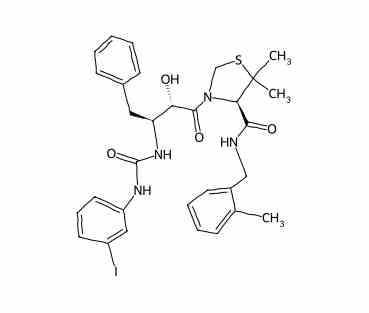 Cc1ccccc1CNC(=O)[C@H]1N(C(=O)[C@@H](O)[C@H](Cc2ccccc2)NC(=O)Nc2cccc(I)c2)CSC1(C)C